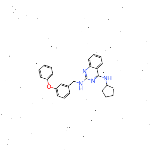 c1ccc(Oc2cccc(CNc3nc(NC4CCCC4)c4ccccc4n3)c2)cc1